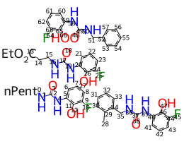 CCCCCNC(=O)Nc1cccc(F)c1O.CCOC(=O)CCNC(=O)Nc1cccc(F)c1O.Cc1ccccc1CNC(=O)Nc1cccc(F)c1O.O=C(NCc1ccccc1)Nc1cccc(F)c1O